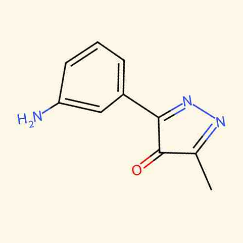 CC1=NN=C(c2cccc(N)c2)C1=O